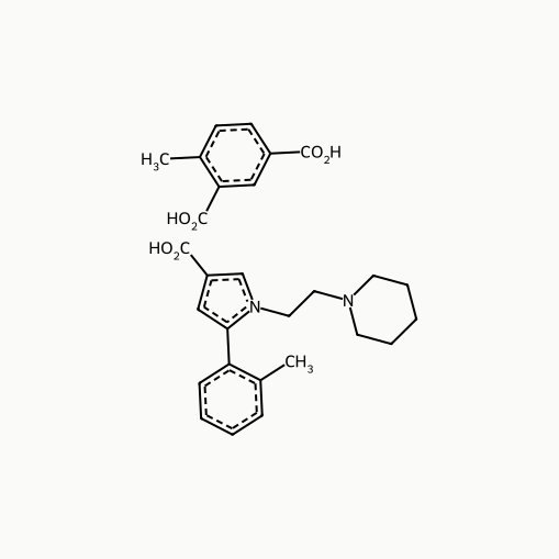 Cc1ccc(C(=O)O)cc1C(=O)O.Cc1ccccc1-c1cc(C(=O)O)cn1CCN1CCCCC1